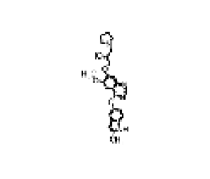 COc1cc2c(Oc3ccc4[nH]c(C)cc4c3)ncnc2cc1OC[C@@H](O)CN1CCCC1